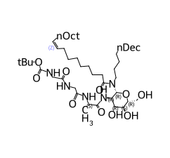 CCCCCCCC/C=C\CCCCCCCC(=O)N(CCCCCCCCCCCCCC)[C@@H]1O[C@H](CO)[C@@H](O)[C@H](O)[C@H]1NC(=O)[C@H](C)NC(=O)CNC(=O)CNC(=O)OC(C)(C)C